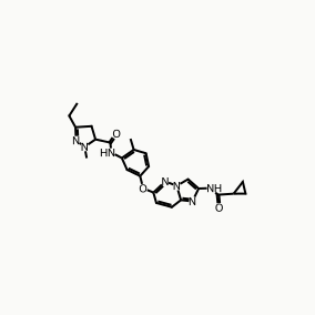 CCC1=NN(C)C(C(=O)Nc2cc(Oc3ccc4nc(NC(=O)C5CC5)cn4n3)ccc2C)C1